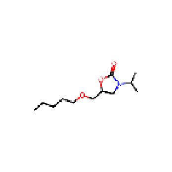 CCCCCOCC1CN(C(C)C)C(=O)O1